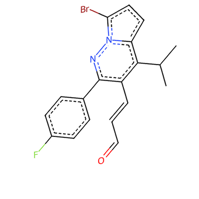 CC(C)c1c(C=CC=O)c(-c2ccc(F)cc2)nn2c(Br)ccc12